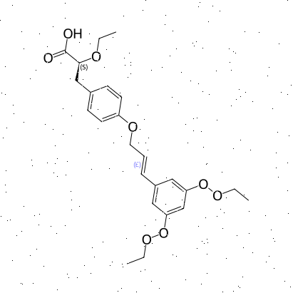 CCOOc1cc(/C=C/COc2ccc(C[C@H](OCC)C(=O)O)cc2)cc(OOCC)c1